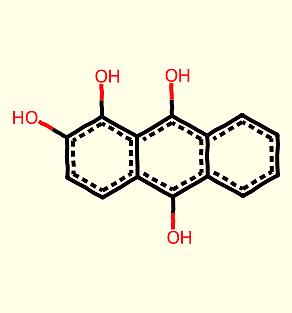 Oc1ccc2c(O)c3ccccc3c(O)c2c1O